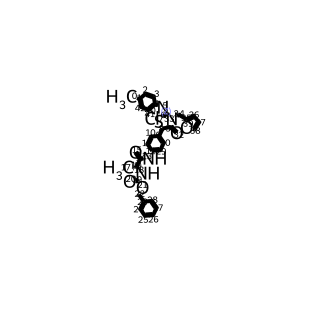 Cc1ccc(/N=C2\SC(c3ccc(NC(=O)[C@H](C)NC(=O)OCc4ccccc4)cc3)C(=O)N2Cc2ccco2)c(Cl)c1